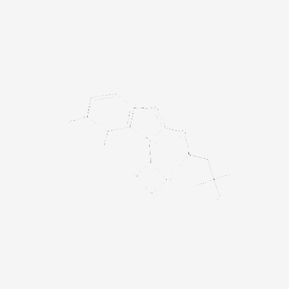 COc1ccc2nc(NC(=O)CC(C)(C)C)n(C3CCC3)c2c1F